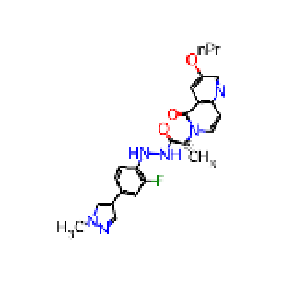 CCCOc1cnc2ccn([C@H](C)C(=O)NNc3ccc(-c4cnn(C)c4)cc3F)c(=O)c2c1